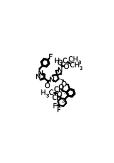 CC(C)(C)OC(=O)c1c(COC[C@@H]2CN(C(=O)c3cnn(Cc4ccc(F)cc4)c3)CC23CN(C(=O)OC(C)(C)C)C3)cccc1C1CCC(F)(F)CC1